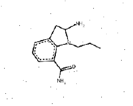 CCCN1c2c(cccc2C(N)=O)CC1N